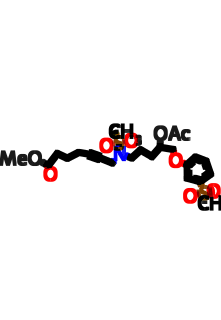 COC(=O)CCCC#CCN(CCCC(COc1cccc(S(C)(=O)=O)c1)OC(C)=O)S(C)(=O)=O